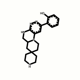 Oc1ccccc1-c1cc2c(nn1)NCC1CC3(CCNCC3)CCN21